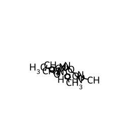 C#Cc1cnc(OCCOc2ncnc(NS(=O)(=O)c3ccc(C(C)(C)C)cc3)c2-c2ccc(C)cc2)nc1